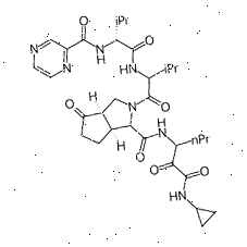 CCCC(NC(=O)C1[C@H]2CCC(=O)[C@H]2CN1C(=O)C(NC(=O)[C@H](NC(=O)c1cnccn1)C(C)C)C(C)C)C(=O)C(=O)NC1CC1